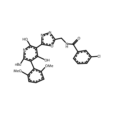 CCCCc1nc(O)c(-c2nnc(CNC(=O)c3cccc(Cl)c3)o2)c(O)c1-c1c(OC)cccc1OC